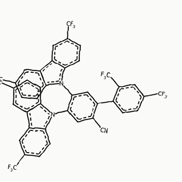 N#Cc1cc(-n2c3ccc(C(F)(F)F)cc3c3cc(C(F)(F)F)ccc32)c(-n2c3ccc(C(F)(F)F)cc3c3cc(C(F)(F)F)ccc32)cc1-c1ccc(C(F)(F)F)cc1C(F)(F)F